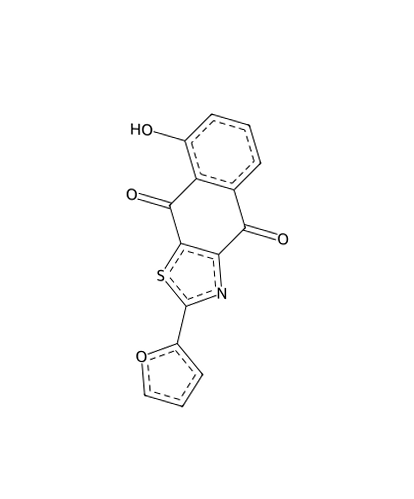 O=C1c2cccc(O)c2C(=O)c2sc(-c3ccco3)nc21